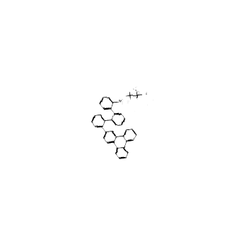 CC(C)(P)C(C)(C)OBc1ccccc1-c1ccccc1-c1ccccc1-c1ccc2c3ccccc3c3ccccc3c2c1